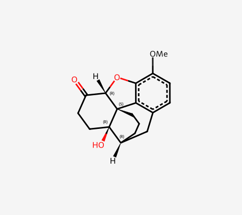 COc1ccc2c3c1O[C@H]1C(=O)CC[C@@]4(O)[C@H](CCC[C@]314)C2